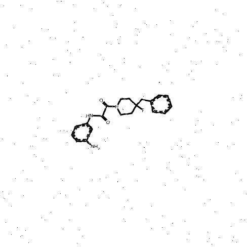 Nc1cccc(NC(=O)C(=O)N2CCC(F)(Cc3ccccc3)CC2)c1